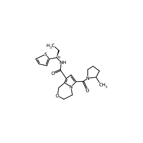 CC[C@@H](NC(=O)c1cc(C(=O)N2CCCC2C)n2c1COCC2)c1cccs1